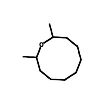 CC1CCCCCCCC(C)O1